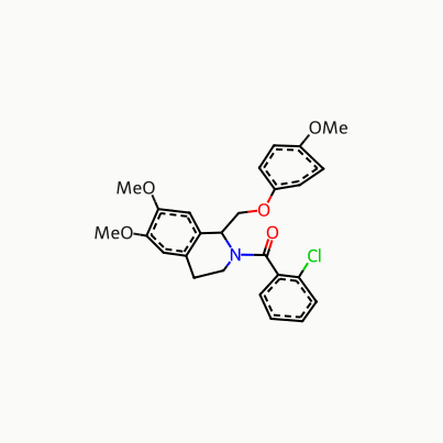 COc1ccc(OCC2c3cc(OC)c(OC)cc3CCN2C(=O)c2ccccc2Cl)cc1